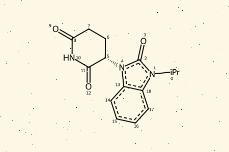 CC(C)n1c(=O)n([C@H]2CCC(=O)NC2=O)c2ccccc21